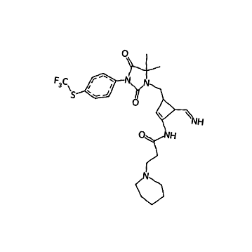 CC1(C)C(=O)N(c2ccc(SC(F)(F)F)cc2)C(=O)N1CC1C=C(NC(=O)CCN2CCCCC2)C1C=N